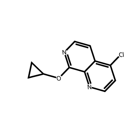 Clc1ccnc2c(OC3CC3)nccc12